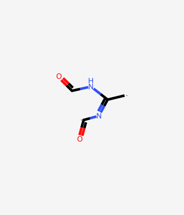 [CH2]C(=N[C]=O)NC=O